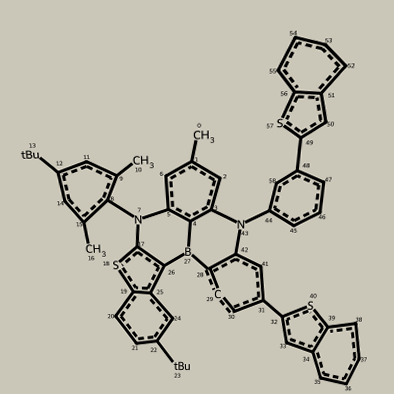 Cc1cc2c3c(c1)N(c1c(C)cc(C(C)(C)C)cc1C)c1sc4ccc(C(C)(C)C)cc4c1B3c1ccc(-c3cc4ccccc4s3)cc1N2c1cccc(-c2cc3ccccc3s2)c1